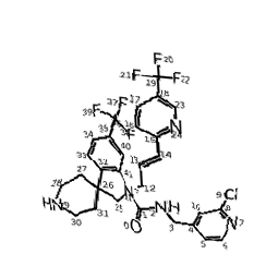 O=C(NCc1ccnc(Cl)c1)[N+]1(C/C=C/c2ccc(C(F)(F)F)cn2)CC2(CCNCC2)c2ccc(C(F)(F)F)cc21